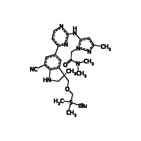 Cc1cc(Nc2nccc(-c3cc(C#N)c4c(c3)[C@@](C)(COCS(C)(C)C(C)(C)C)CN4)n2)n(CC(=O)N(C)C)n1